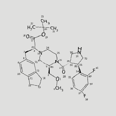 COC[C@H]1CN([C@@H](Cc2ccc3c(c2)CCC3)C(=O)OC(C)(C)C)CCN1C(=O)[C@@H]1CNC[C@H]1c1ccc(F)cc1F